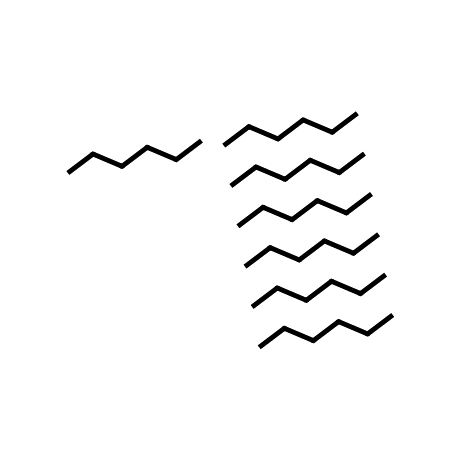 CCCCCC.CCCCCC.CCCCCC.CCCCCC.CCCCCC.CCCCCC.CCCCCC